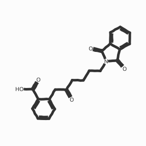 O=C(CCCCN1C(=O)c2ccccc2C1=O)Cc1ccccc1C(=O)O